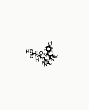 Cc1cc2c(s1)-n1c(C)nnc1[C@H](CC(=O)NCC(=O)O)N=C2c1ccc(Cl)cc1